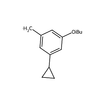 [CH2]c1cc(OCC(C)C)cc(C2CC2)c1